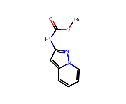 CC(C)(C)OC(=O)Nc1cc2ccccn2n1